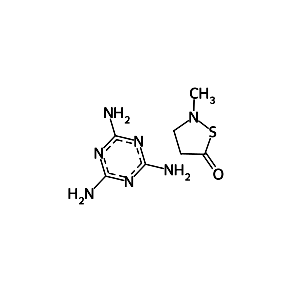 CN1CCC(=O)S1.Nc1nc(N)nc(N)n1